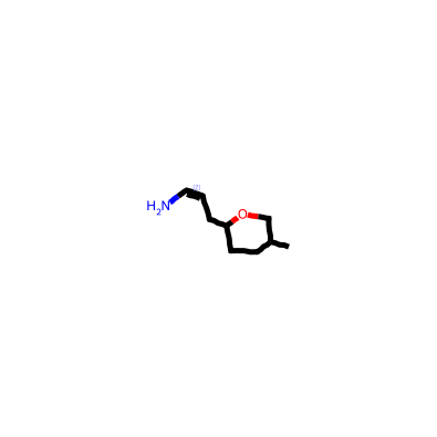 CC1CCC(C/C=C\N)OC1